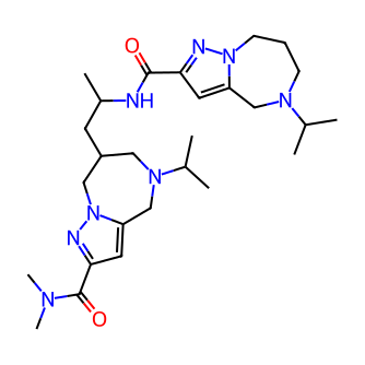 CC(CC1CN(C(C)C)Cc2cc(C(=O)N(C)C)nn2C1)NC(=O)c1cc2n(n1)CCCN(C(C)C)C2